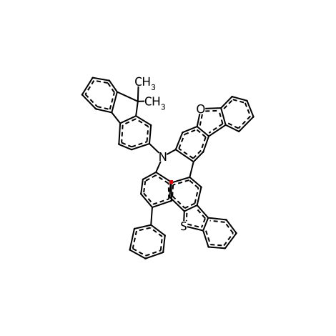 CC1(C)c2ccccc2-c2ccc(N(c3ccc(-c4ccccc4)cc3)c3cc4oc5ccccc5c4cc3-c3ccc4sc5ccccc5c4c3)cc21